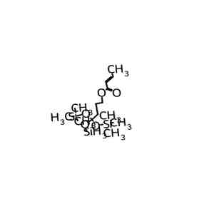 CC=CC(=O)OCCCC(O[SiH3])(O[Si](C)(C)C)O[Si](C)(C)C